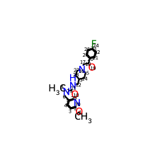 COc1ccc(CN(C)C(=O)NCC2CCN(CC(=O)c3ccc(F)cc3)CC2)cn1